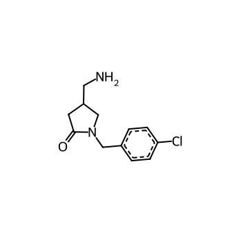 NCC1CC(=O)N(Cc2ccc(Cl)cc2)C1